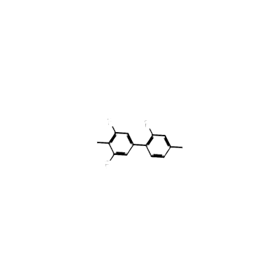 Cc1ccc(-c2cc(F)c(C)c(F)c2)c(F)c1